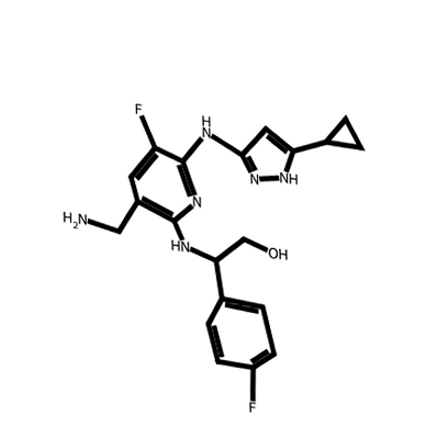 NCc1cc(F)c(Nc2cc(C3CC3)[nH]n2)nc1NC(CO)c1ccc(F)cc1